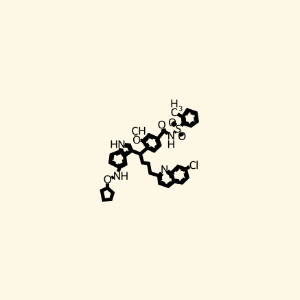 COc1cc(C(=O)NS(=O)(=O)c2ccccc2C)ccc1C(CCCc1ccc2ccc(Cl)cc2n1)c1c[nH]c2ccc(NOC3CCCC3)cc12